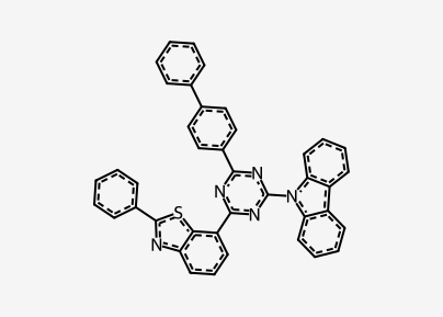 c1ccc(-c2ccc(-c3nc(-c4cccc5nc(-c6ccccc6)sc45)nc(-n4c5ccccc5c5ccccc54)n3)cc2)cc1